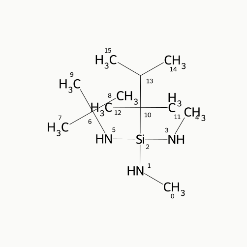 CN[Si](NC)(NC(C)(C)C)C(C)(C)C(C)C